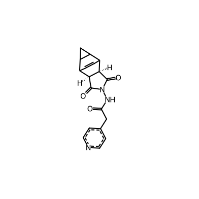 O=C(Cc1ccncc1)NN1C(=O)[C@@H]2C3C=CC(C4CC43)[C@@H]2C1=O